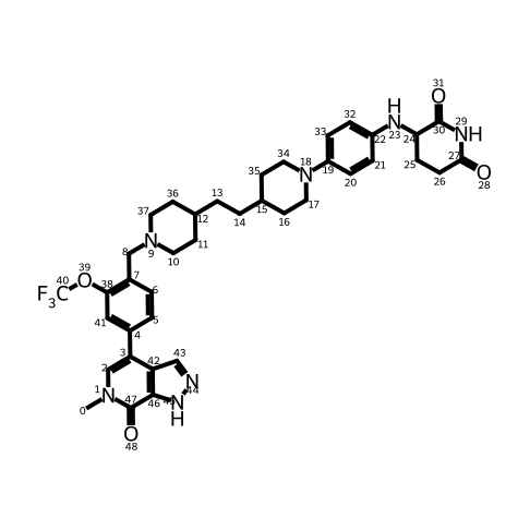 Cn1cc(-c2ccc(CN3CCC(CCC4CCN(c5ccc(NC6CCC(=O)NC6=O)cc5)CC4)CC3)c(OC(F)(F)F)c2)c2cn[nH]c2c1=O